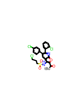 CC(C)(C)C(=O)c1oc2nc(-c3ccccc3Cl)c(-c3ccc(Cl)cc3)cc2c1NS(=O)(=O)CCCCl